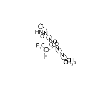 CC1(C)CCN(C2CCN(C(=O)[C@@H](Cc3cc(CF)cc(C(F)(F)F)c3)OC(=O)N3CCC(N4CCc5ccccc5NC4=O)CC3)CC2)CC1